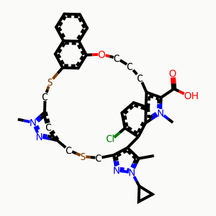 Cc1c2c(nn1C1CC1)CSCc1cc(n(C)n1)CSc1cc(c3ccccc3c1)OCCCc1c(C(=O)O)n(C)c3c-2c(Cl)ccc13